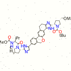 COC[C@H]1C[C@@H](c2nc3c([nH]2)-c2cc4c(cc2CC3)-c2ccc(-c3cnc([C@@H]5CC[C@H](C)N5C(=O)[C@@H](NC(=O)OC)C(C)C)[nH]3)cc2CO4)N(C(=O)OC(C)(C)C)C1